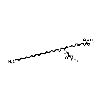 CCCCCCCCCCCCCCCCCCOCC(CSCCOCCOS(C)(=O)=O)OCC(=O)OC